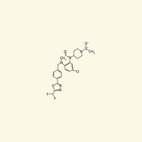 CN(Cc1ccc(-c2nnc(C(F)F)o2)cc1)c1ccc(Cl)cc1N(C=O)C1CCN([S+](C)[O-])CC1